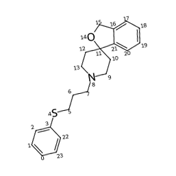 c1ccc(SCCCN2CCC3(CC2)OCc2ccccc23)cc1